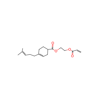 C=CC(=O)OCCOC(=O)C1CC=C(CCC=C(C)C)CC1